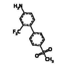 CS(=O)(=O)c1ccc(-c2ccc(N)cc2C(F)(F)F)cc1